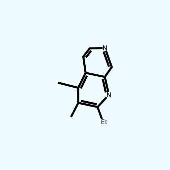 CCc1nc2cnccc2c(C)c1C